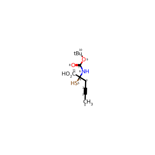 CC#CCC(S)(NC(=O)OC(C)(C)C)C(=O)O